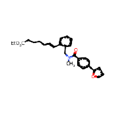 CCOC(=O)CCCC/C=C/c1ccccc1CN(C)C(=O)c1ccc(-c2ccco2)cc1